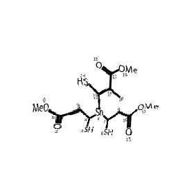 COC(=O)C[CH](S)[Sn]([CH](S)CC(=O)OC)[CH](S)C(C)C(=O)OC